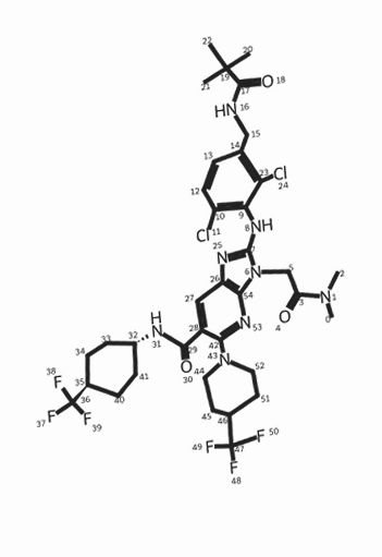 CN(C)C(=O)Cn1c(Nc2c(Cl)ccc(CNC(=O)C(C)(C)C)c2Cl)nc2cc(C(=O)N[C@H]3CC[C@H](C(F)(F)F)CC3)c(N3CCC(C(F)(F)F)CC3)nc21